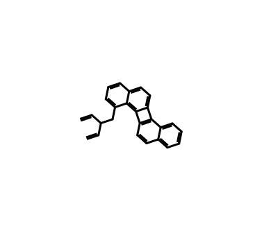 C=CC(C=C)Cc1cccc2ccc3c(c12)-c1ccc2ccccc2c1-3